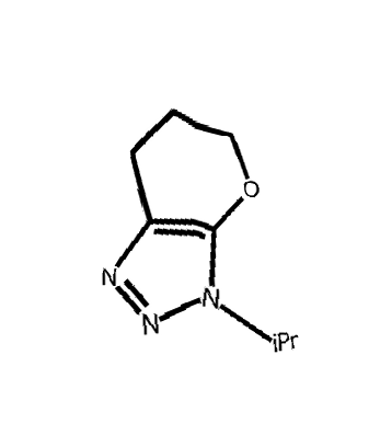 CC(C)n1nnc2c1OCCC2